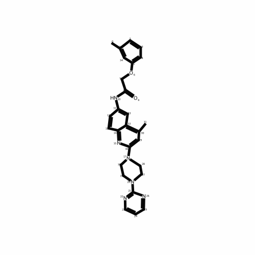 Cc1cccc(OCC(=O)Nc2ccc3nc(N4CCN(c5ncccn5)CC4)cc(C)c3c2)c1